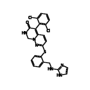 O=C1NCN2N=C(Sc3ccccc3CNc3ncc[nH]3)C=CC2=C1c1c(Cl)cccc1Cl